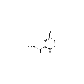 CCCCCNN1N=C(Cl)C=[C]N1